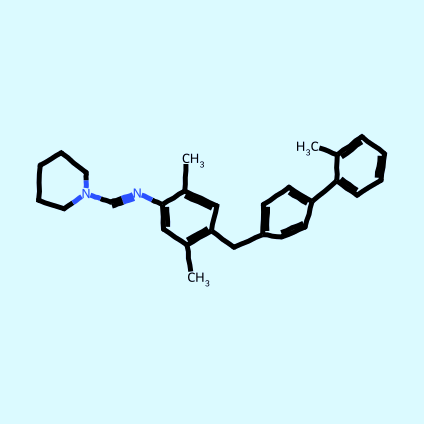 Cc1cc(/N=C/N2CCCCC2)c(C)cc1Cc1ccc(-c2ccccc2C)cc1